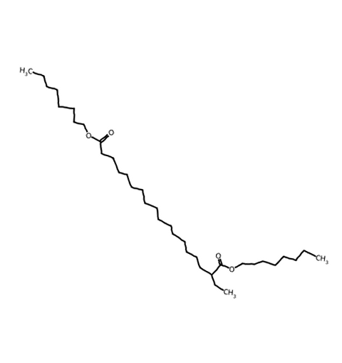 CCCCCCCCOC(=O)CCCCCCCCCCCCCCCC(CC)C(=O)OCCCCCCCC